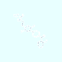 NC(=S)N/N=C/c1cc(F)c(N2CCN(C(=O)c3ccccc3F)CC2)cc1F